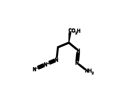 [N-]=[N+]=NC[C@H](N=NN)C(=O)O